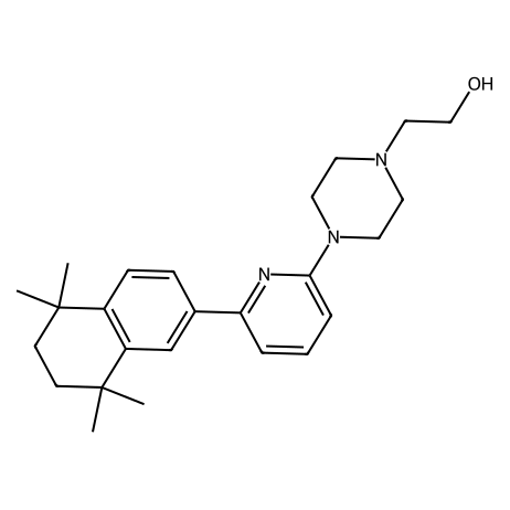 CC1(C)CCC(C)(C)c2cc(-c3cccc(N4CCN(CCO)CC4)n3)ccc21